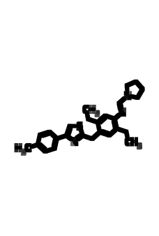 CCc1cc(/N=C/N2CCCC2)c(CC)cc1Cc1nc(-c2ccc(C)cc2)cs1